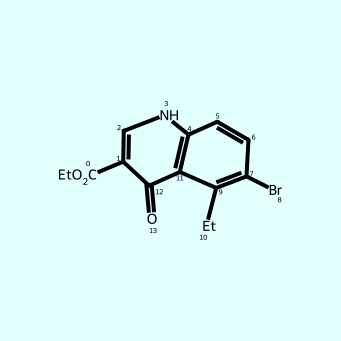 CCOC(=O)c1c[nH]c2ccc(Br)c(CC)c2c1=O